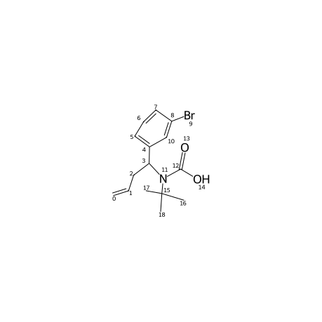 C=CCC(c1cccc(Br)c1)N(C(=O)O)C(C)(C)C